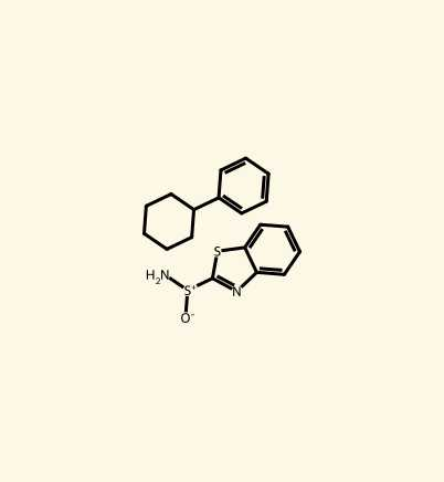 N[S+]([O-])c1nc2ccccc2s1.c1ccc(C2CCCCC2)cc1